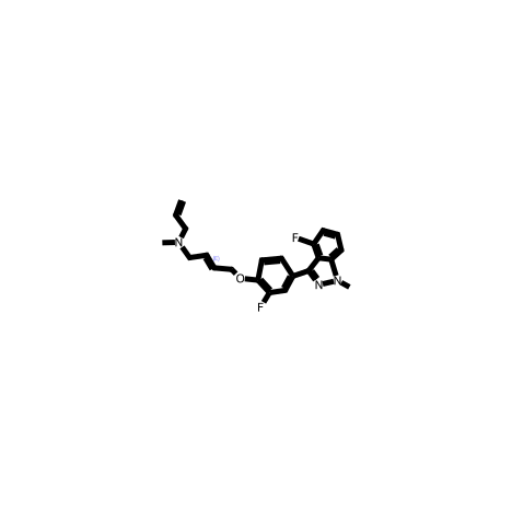 C=CCN(C)C/C=C/COc1ccc(-c2nn(C)c3cccc(F)c23)cc1F